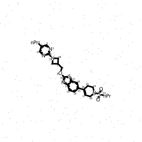 CCCc1cnc(N2CC(COc3nc4ccc(C5=CCN(S(=O)(=O)CCC)CC5)cc4s3)C2)nc1